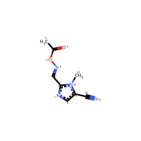 CC(=O)ON=Cc1ncc(C#N)n1C